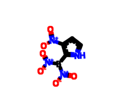 O=[N+]([O-])B(c1[nH]ccc1[N+](=O)[O-])[N+](=O)[O-]